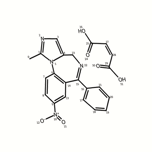 Cc1ncc2n1-c1ccc([N+](=O)[O-])cc1C(c1ccccc1)=NC2.O=C(O)/C=C\C(=O)O